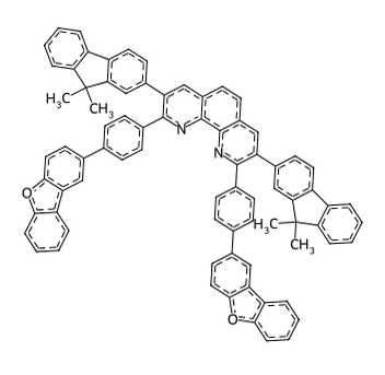 CC1(C)c2ccccc2-c2ccc(-c3cc4ccc5cc(-c6ccc7c(c6)C(C)(C)c6ccccc6-7)c(-c6ccc(-c7ccc8oc9ccccc9c8c7)cc6)nc5c4nc3-c3ccc(-c4ccc5oc6ccccc6c5c4)cc3)cc21